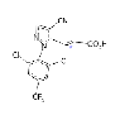 N#Cc1cnn(-c2c(Cl)cc(C(F)(F)F)cc2Cl)c1/C=C/C(=O)O